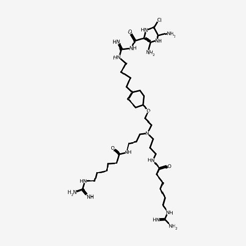 N=C(N)NCCCCCC(=O)NCCCN(CCCNC(=O)CCCCCNC(=N)N)CCOC1CCC(CCCCNC(=N)NC(=O)C2=C(N)NC(N)C(Cl)N2)CC1